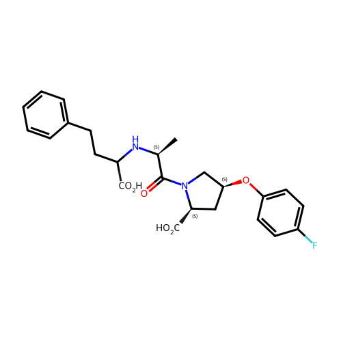 C[C@H](NC(CCc1ccccc1)C(=O)O)C(=O)N1C[C@@H](Oc2ccc(F)cc2)C[C@H]1C(=O)O